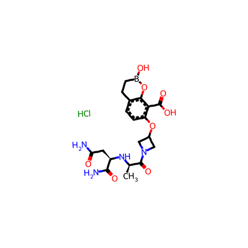 C[C@@H](N[C@H](CC(N)=O)C(N)=O)C(=O)N1CC(Oc2ccc3c(c2C(=O)O)OB(O)CC3)C1.Cl